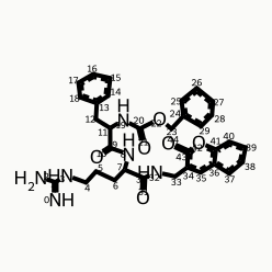 N=C(N)NCCCC(NC(=O)C(Cc1ccccc1)NC(=O)OCc1ccccc1)C(=O)NCc1cc2ccccc2oc1=O